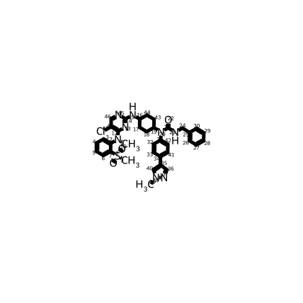 CN(c1ccccc1S(C)(=O)=O)c1nc(NC2CCC(N(C(=O)NCc3ccccc3)c3ccc(-c4cnn(C)c4)cc3)CC2)ncc1Cl